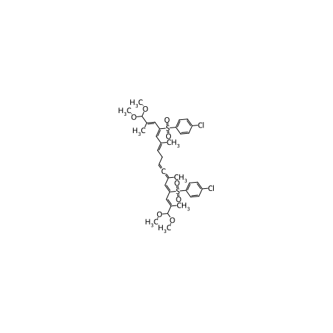 COC(OC)/C(C)=C/C(=C/C(C)=C=CC/C=C(C)/C=C(/C=C(\C)C(OC)OC)S(=O)(=O)c1ccc(Cl)cc1)S(=O)(=O)c1ccc(Cl)cc1